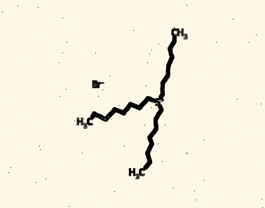 CCCCCCCC[S+](CCCCCCCC)CCCCCCCC.[Br-]